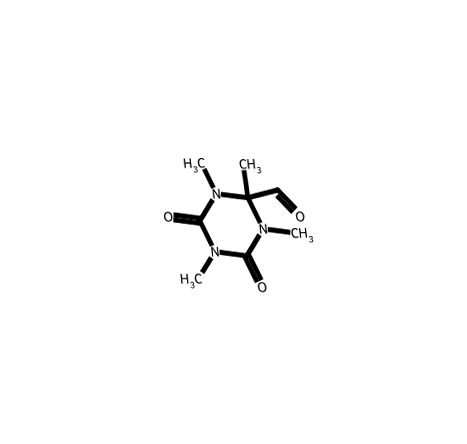 CN1C(=O)N(C)C(C)(C=O)N(C)C1=O